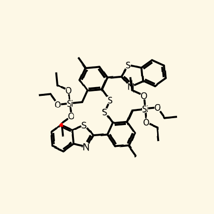 CCO[Si](Cc1cc(C)cc(-c2nc3ccccc3s2)c1SSc1c(C[Si](OCC)(OCC)OCC)cc(C)cc1-c1nc2ccccc2s1)(OCC)OCC